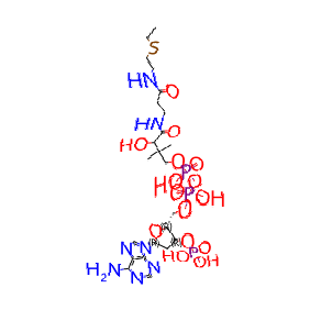 CCSCCNC(=O)CCNC(=O)C(O)C(C)(C)COP(=O)(O)OP(=O)(O)OC[C@H]1O[C@@H](n2cnc3c(N)ncnc32)C[C@H]1OP(=O)(O)O